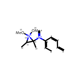 C=C/C=C\C(=CC)[N+](=C)C1(C)C(C)[N+]1(OC)OC